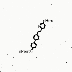 CCCCCCc1ccc(CCc2ccc(-c3ccc(OCCCCC)cc3)cc2)nc1